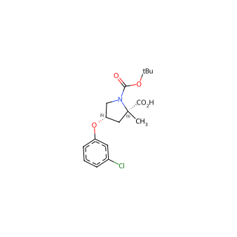 CC(C)(C)OC(=O)N1C[C@@H](Oc2cccc(Cl)c2)C[C@@]1(C)C(=O)O